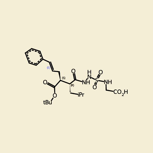 CC(C)C[C@@H](C(=O)NNS(=O)(=O)NCC(=O)O)[C@H](C/C=C/c1ccccc1)C(=O)OC(C)(C)C